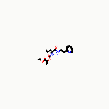 CCC[C@H](NC(=O)OC(C)C(=O)OCC)C(=O)NCCc1ccccn1